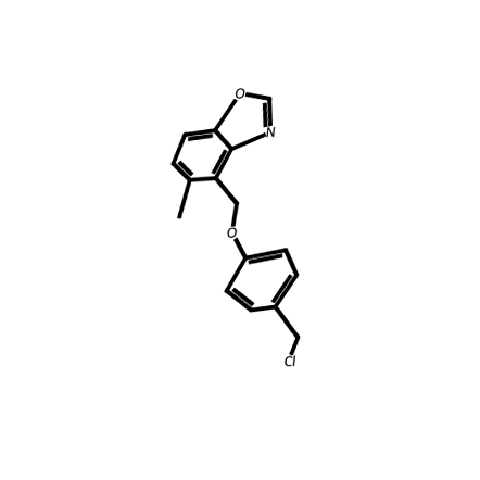 Cc1ccc2ocnc2c1COc1ccc(CCl)cc1